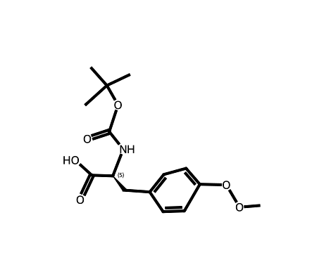 COOc1ccc(C[C@H](NC(=O)OC(C)(C)C)C(=O)O)cc1